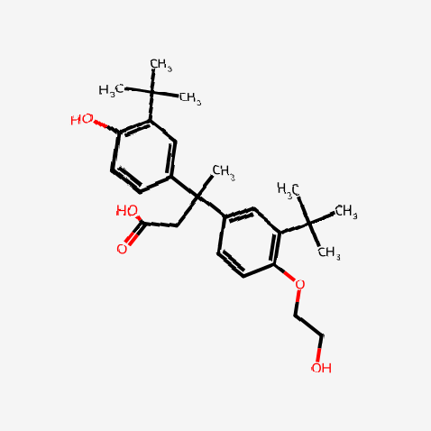 CC(C)(C)c1cc(C(C)(CC(=O)O)c2ccc(OCCO)c(C(C)(C)C)c2)ccc1O